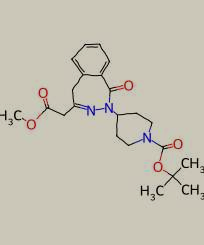 COC(=O)CC1=NN(C2CCN(C(=O)OC(C)(C)C)CC2)C(=O)c2ccccc2C1